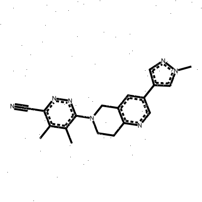 Cc1c(C#N)nnc(N2CCc3ncc(-c4cnn(C)c4)cc3C2)c1C